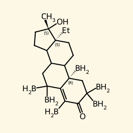 BC1=C2C(B)(B)CC3C4CC[C@](C)(O)[C@@]4(CC)CCC3[C@@]2(B)CC(B)(B)C1=O